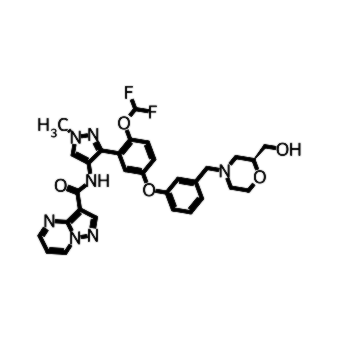 Cn1cc(NC(=O)c2cnn3cccnc23)c(-c2cc(Oc3cccc(CN4CCO[C@H](CO)C4)c3)ccc2OC(F)F)n1